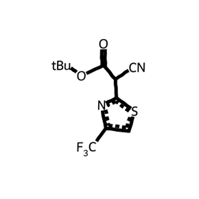 CC(C)(C)OC(=O)C(C#N)c1nc(C(F)(F)F)cs1